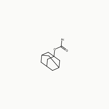 CC(=O)C(=O)OC12CC3CC(CC(C3)C1)C2